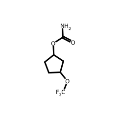 NC(=O)OC1CCC(OC(F)(F)F)C1